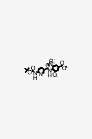 COC(=O)c1cc(OC)c(NCc2ccc(NC(=O)OC(C)(C)C)nc2)c([N+](=O)[O-])c1